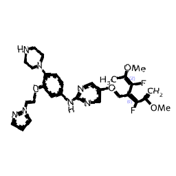 C=C(OC)/C(F)=C(COc1cnc(Nc2ccc(N3CCNCC3)c(OCCn3cccn3)c2)nc1)\C(F)=C(/C)OC